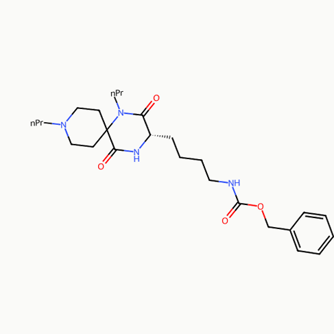 CCCN1CCC2(CC1)C(=O)N[C@@H](CCCCNC(=O)OCc1ccccc1)C(=O)N2CCC